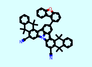 CC1(C)c2ccccc2C(C)(C)c2c1c(C#N)cc1c2c2cc(-c3cccc4oc5ccccc5c34)cc3c4c5c(c(C#N)cc4n1c23)C(C)(C)c1ccccc1C5(C)C